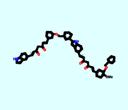 COc1ccc(/C=C/C(=O)CC(=O)/C=C/c2ccc3[nH]c(-c4cccc(COc5cccc(/C=C/C(=O)CC(=O)/C=C/c6ccc7[nH]ccc7c6)c5)c4)cc3c2)cc1OCc1ccccc1